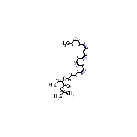 CC/C=C\C/C=C\C/C=C\C/C=C\C/C=C\CCCCOC(CC)C(=O)OC(C)C